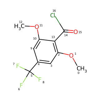 COc1cc(C(F)(F)F)cc(OC)c1C(=O)Cl